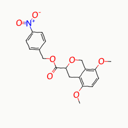 COc1ccc(OC)c2c1COC(C(=O)OCc1ccc([N+](=O)[O-])cc1)C2